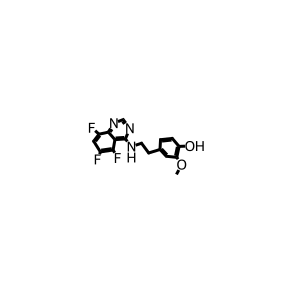 COc1cc(CCNc2ncnc3c(F)cc(F)c(F)c23)ccc1O